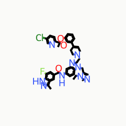 CCn1cncc1Cn1c(CN2CC=C(c3cccc4c3OC(C)(c3ccc(Cl)cn3)O4)CC2)nc2cc(NC(=O)c3cc(F)c4[nH]nc(C)c4c3)ccc21